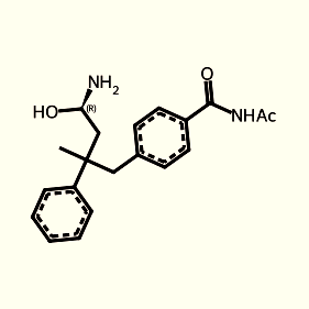 CC(=O)NC(=O)c1ccc(CC(C)(C[C@H](N)O)c2ccccc2)cc1